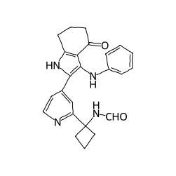 O=CNC1(c2cc(-c3[nH]c4c(c3Nc3ccccc3)C(=O)CCC4)ccn2)CCC1